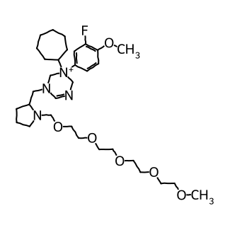 COCCOCCOCCOCCOCN1CCCC1CN1C=NC[N+](c2ccc(OC)c(F)c2)(C2CCCCCC2)C1